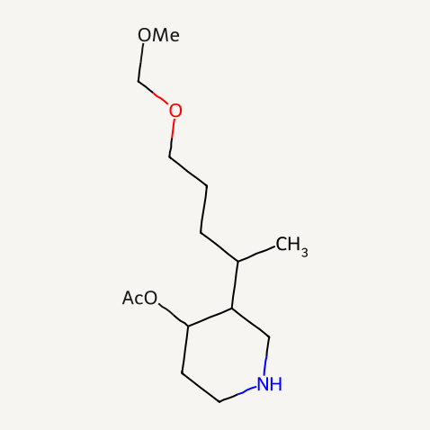 COCOCCCC(C)C1CNCCC1OC(C)=O